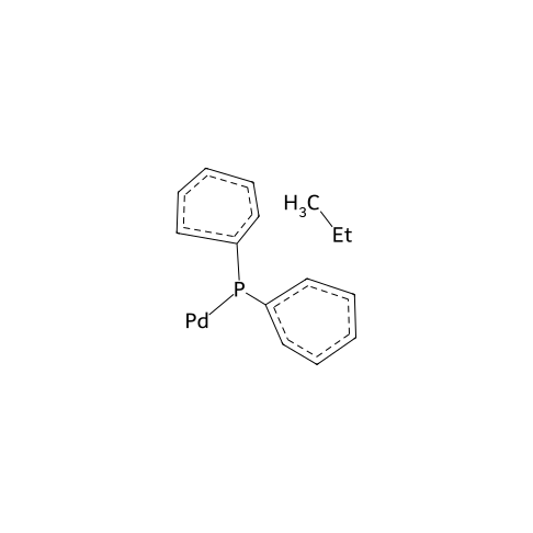 CCC.[Pd][P](c1ccccc1)c1ccccc1